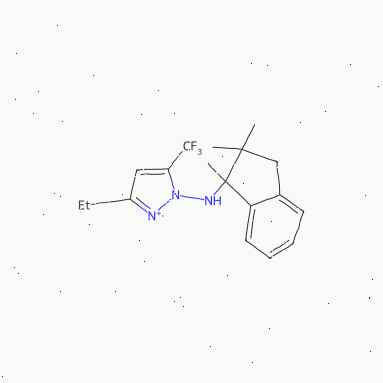 CCC1=[N+]N(NC2(C)c3ccccc3CC2(C)C)C(C(F)(F)F)=C1